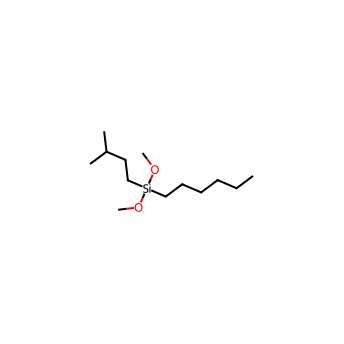 CCCCCC[Si](CCC(C)C)(OC)OC